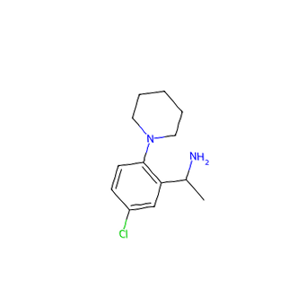 CC(N)c1cc(Cl)ccc1N1CCCCC1